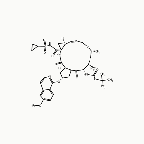 CCCOc1ccc2c(O[C@@H]3C[C@H]4C(=O)N[C@]5(C(=O)NS(=O)(=O)C6CC6)C[C@H]5/C=C\CC[C@@H](C)C[C@@H](C)[C@H](NC(=O)OC(C)(C)C(F)(F)F)C(=O)N4C3)nccc2c1